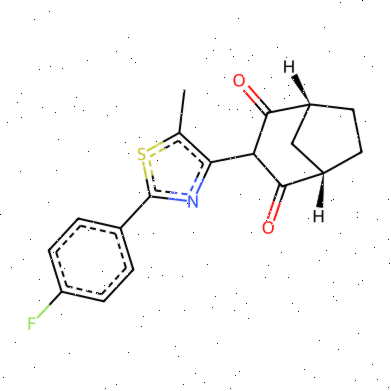 Cc1sc(-c2ccc(F)cc2)nc1C1C(=O)[C@@H]2CC[C@@H](C2)C1=O